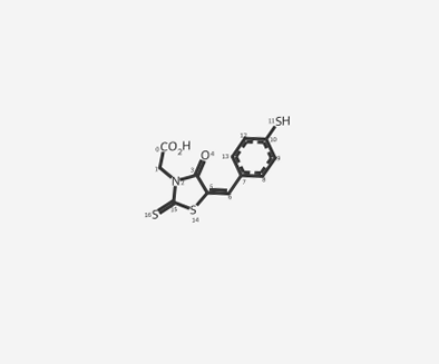 O=C(O)CN1C(=O)/C(=C\c2ccc(S)cc2)SC1=S